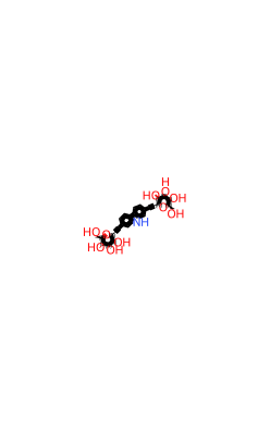 OC[C@H]1O[C@H](C#Cc2ccc3c(c2)[nH]c2cc(C#C[C@H]4O[C@H](CO)[C@@H](O)[C@H](O)[C@@H]4O)ccc23)[C@@H](O)[C@@H](O)[C@@H]1O